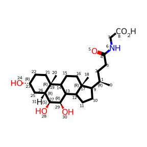 C[C@H](CCC(=O)NCC(=O)O)C1CCC2C3C(CC[C@@]21C)[C@@]1(C)CC[C@@H](O)C[C@H]1[C@H](O)[C@@H]3O